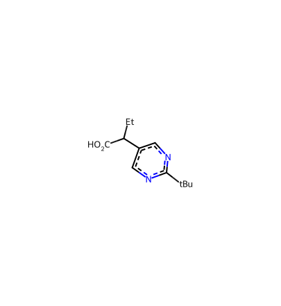 CCC(C(=O)O)c1cnc(C(C)(C)C)nc1